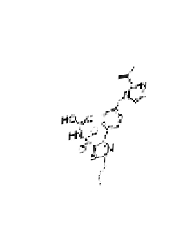 C=C(C)c1nccn1Cc1ccc(-c2nc(CCC)sc2S(=O)(=O)NC(=O)O)cc1